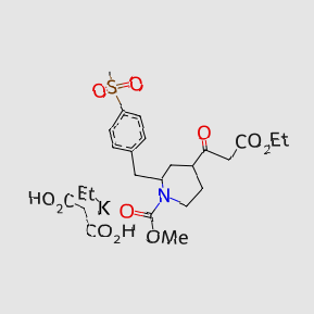 CCOC(=O)CC(=O)C1CCN(C(=O)OC)C(Cc2ccc(S(C)(=O)=O)cc2)C1.C[CH2][K].O=C(O)CC(=O)O